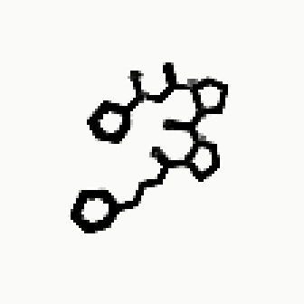 O=C(C[S+]([O-])c1ccccc1)[C@@H]1CCCN1C(=O)[C@H]1CCCN1C(=O)CCCc1ccccc1